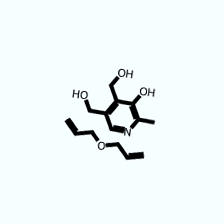 C=CCOCC=C.Cc1ncc(CO)c(CO)c1O